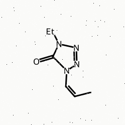 C/C=C\n1nnn(CC)c1=O